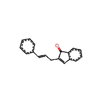 O=C1C(CC=Cc2ccccc2)=Cc2ccccc21